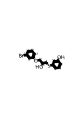 Oc1cccc(SCC(O)COc2cccc(Br)c2)c1